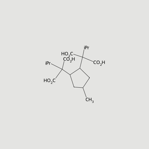 CC1CC(C(C(=O)O)(C(=O)O)C(C)C)C(C(C(=O)O)(C(=O)O)C(C)C)C1